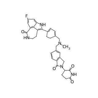 CN(CC1=CC=C(c2[nH]c3cc(F)cc4c3c2CCNC4=O)CC1)Cc1ccc2c(c1)CN(C1CCC(=O)NC1=O)C2=O